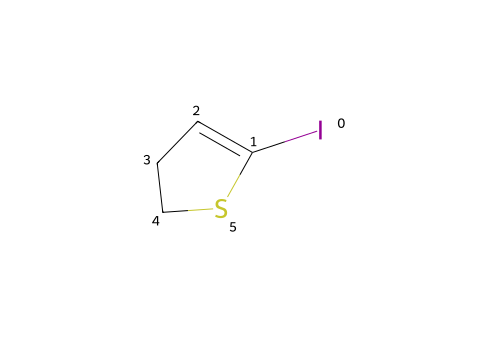 IC1=CCCS1